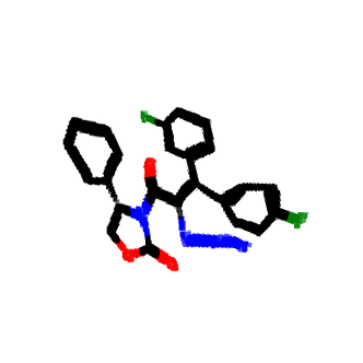 [N-]=[N+]=N[C@H](C(=O)N1C(=O)OC[C@@H]1c1ccccc1)[C@H](c1ccc(F)cc1)c1cccc(F)c1